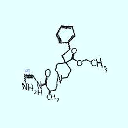 C=C(CN1CCC(CCc2ccccc2)(C(=O)OCC)CC1)C(=O)N/C=C\N